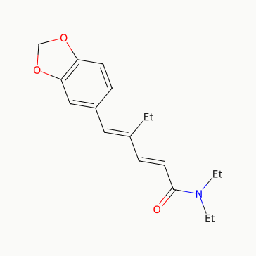 CCC(/C=C/C(=O)N(CC)CC)=C\c1ccc2c(c1)OCO2